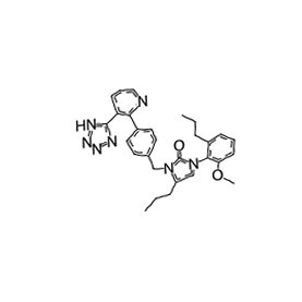 CCCc1cccc(OC)c1-n1cc(CCC)n(Cc2ccc(-c3ncccc3-c3nnn[nH]3)cc2)c1=O